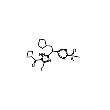 CS(=O)(=O)c1ccc(C(CC2CCCC2)c2nc(F)c(C(=O)C3CCC3)[nH]2)cc1